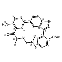 COc1ccccc1-c1c[nH]c2ncc(-c3cnc(N)c(C(=O)N(C)CCN(C)C)n3)cc12